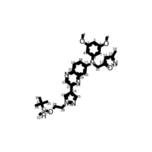 COc1cc(OC)cc(N(Cc2cc(C)no2)c2ccc3ncc(-c4cnn(CCO[SiH](C)C(C)(C)C)c4)nc3c2)c1